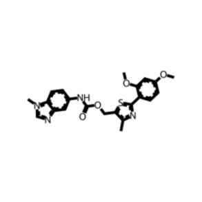 COc1ccc(-c2nc(C)c(COC(=O)Nc3ccc4c(c3)ncn4C)s2)c(OC)c1